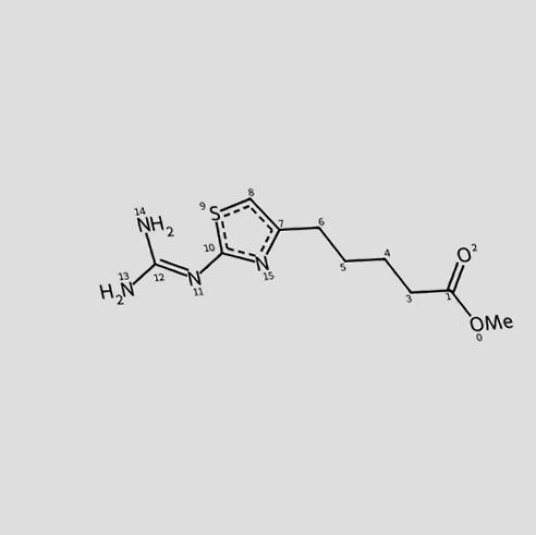 COC(=O)CCCCc1csc(N=C(N)N)n1